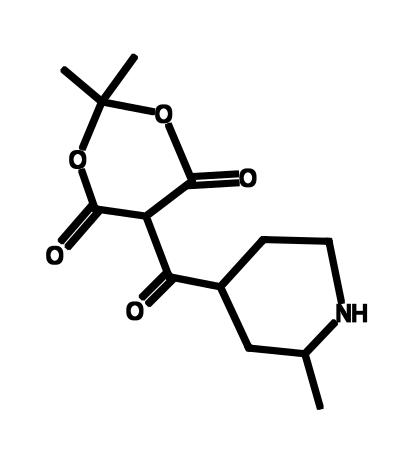 CC1CC(C(=O)C2C(=O)OC(C)(C)OC2=O)CCN1